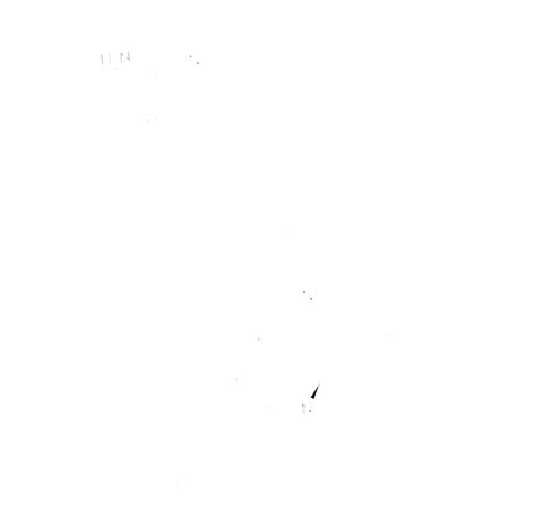 CCCC(=O)N[C@@H]1CSc2ccccc2N(Cc2ccc(-c3ccccc3CNC(N)=O)cc2)C1=O